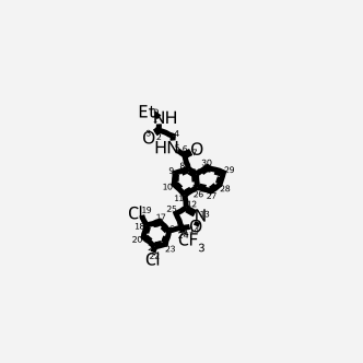 CCNC(=O)CNC(=O)c1ccc(C2=NOC(c3cc(Cl)cc(Cl)c3)(C(F)(F)F)C2)c2ccccc12